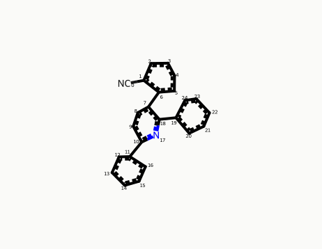 N#Cc1ccccc1-c1ccc(-c2ccccc2)nc1-c1ccccc1